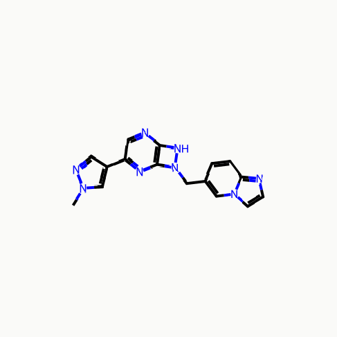 Cn1cc(-c2cnc3[nH]n(Cc4ccc5nccn5c4)c3n2)cn1